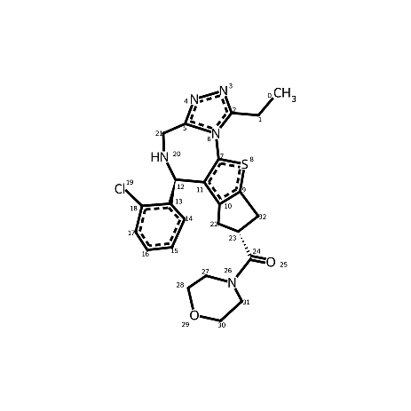 CCc1nnc2n1-c1sc3c(c1[C@@H](c1ccccc1Cl)NC2)C[C@@H](C(=O)N1CCOCC1)C3